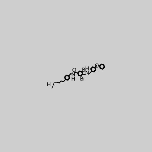 CCCCCc1ccc(CNC(=O)c2cc(Br)c(CNCc3ccc(Oc4ccccc4)cc3)c(Br)c2)cc1